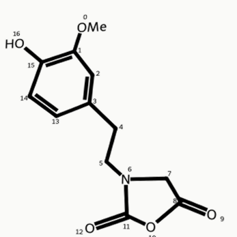 COc1cc(CCN2CC(=O)OC2=O)ccc1O